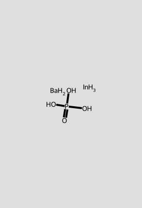 O=P(O)(O)O.[BaH2].[InH3]